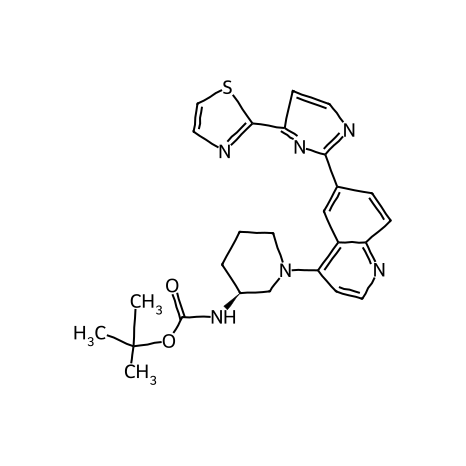 CC(C)(C)OC(=O)N[C@H]1CCCN(c2ccnc3ccc(-c4nccc(-c5nccs5)n4)cc23)C1